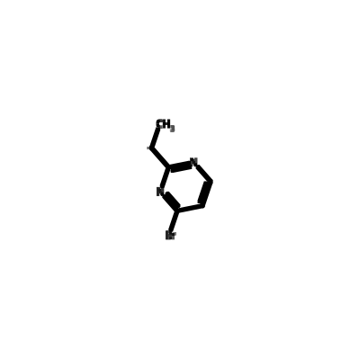 C[CH]c1nccc(Br)n1